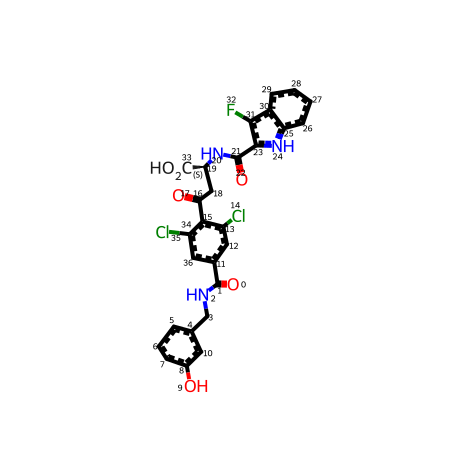 O=C(NCc1cccc(O)c1)c1cc(Cl)c(C(=O)C[C@H](NC(=O)c2[nH]c3ccccc3c2F)C(=O)O)c(Cl)c1